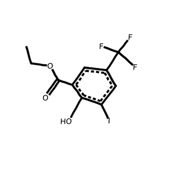 CCOC(=O)c1cc(C(F)(F)F)cc(I)c1O